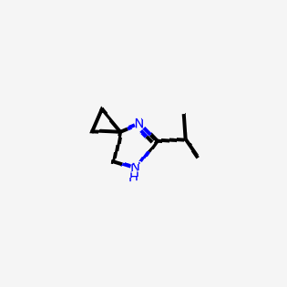 CC(C)C1=NC2(CC2)CN1